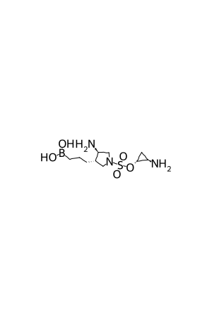 N[C@@H]1C[C@H]1OS(=O)(=O)N1C[C@H](CCCB(O)O)[C@@H](N)C1